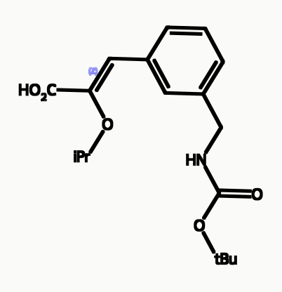 CC(C)O/C(=C\c1cccc(CNC(=O)OC(C)(C)C)c1)C(=O)O